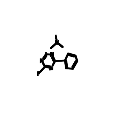 CN(C)C.Fc1n[c]nc(-c2ccccc2)n1